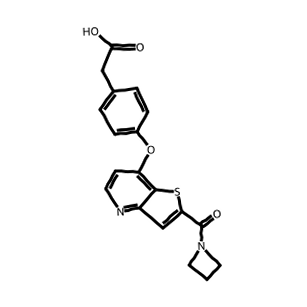 O=C(O)Cc1ccc(Oc2ccnc3cc(C(=O)N4CCC4)sc23)cc1